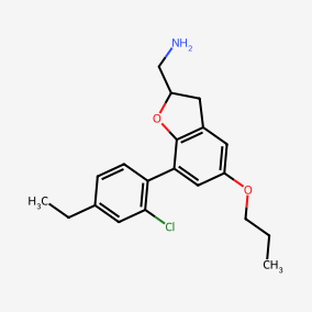 CCCOc1cc2c(c(-c3ccc(CC)cc3Cl)c1)OC(CN)C2